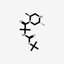 C[C@@H]1CN(C(=O)C(C)(C)NC(=O)OC(C)(C)C)[C@@H](C)CN1